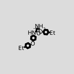 CCc1ccc(OC[C@](C)(N)C(=O)Nc2ccc(Oc3ccc(CC)cc3)cc2)cc1